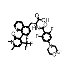 Cc1cc(C(F)(F)F)c(-c2ccc(C[C@H](NC(=O)c3c(F)cc(N4CCO[C@@H](C)C4)cc3F)C(=O)O)c3cccnc23)c(=O)n1C